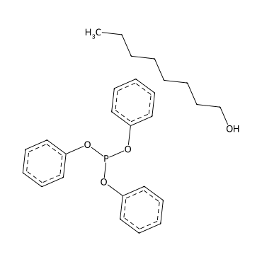 CCCCCCCCO.c1ccc(OP(Oc2ccccc2)Oc2ccccc2)cc1